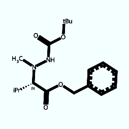 CC(C)[C@@H](C(=O)OCc1ccccc1)N(C)NC(=O)OC(C)(C)C